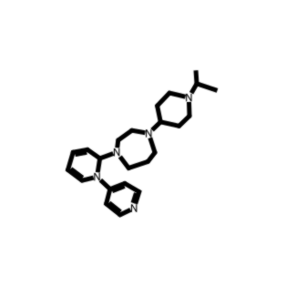 CC(C)N1CCC(N2CCCN(C3C=CC=CN3c3ccncc3)CC2)CC1